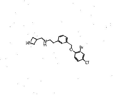 Clc1ccc(OCc2cccc(CCNCC3CNC3)c2)c(Br)c1